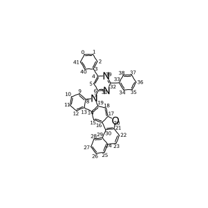 c1ccc(-c2cc(-n3c4ccccc4c4cc5c(cc43)oc3ccc4ccccc4c35)nc(-c3ccccc3)n2)cc1